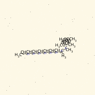 COc1c(OC(C)=O)c(C)c(C/C=C(\C)CC/C=C(\C)CC/C=C(\C)CC/C=C(\C)CC/C=C(\C)CC/C=C(\C)CC/C=C(\C)CC/C=C(\C)CCC=C(C)C)c(OC(C)=O)c1OC